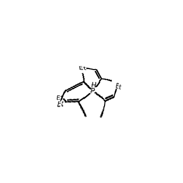 CC/C=C(/C)[PH](/C(C)=C\CC)(/C(C)=C\CC)/C(C)=C\CC